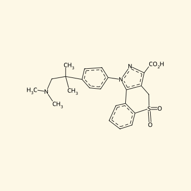 CN(C)CC(C)(C)c1ccc(-n2nc(C(=O)O)c3c2-c2ccccc2S(=O)(=O)C3)cc1